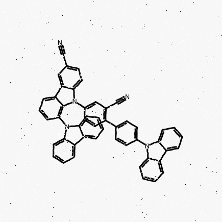 N#Cc1ccc2c(c1)c1cccc(-n3c4ccccc4c4ccccc43)c1n2-c1ccc(-c2ccc(-n3c4ccccc4c4ccccc43)cc2)c(C#N)c1